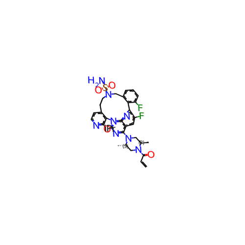 C=CC(=O)N1C[C@H](C)N(c2nc(=O)n3c4nc(c(F)cc24)-c2c(F)cccc2CN(S(N)(=O)=O)CCc2ccnc(C(C)C)c2-3)C[C@H]1C